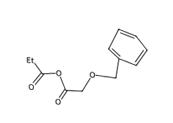 [CH2]CC(=O)OC(=O)COCc1ccccc1